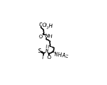 CC(=O)N[C@@H](CCCCNC(=O)CCC(=O)O)C(=O)NC(=S)I